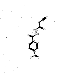 N#CCC(=O)NNC(=O)c1ccc([N+](=O)[O-])cc1